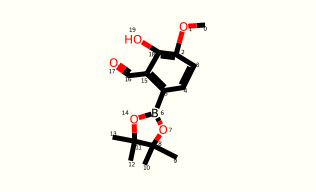 COc1ccc(B2OC(C)(C)C(C)(C)O2)c(C=O)c1O